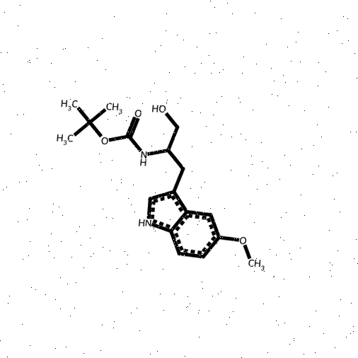 COc1ccc2[nH]cc(CC(CO)NC(=O)OC(C)(C)C)c2c1